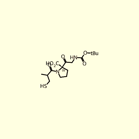 CC(CS)C(=O)N1CCC[C@@]1(C(=O)O)C(=O)CNC(=O)OC(C)(C)C